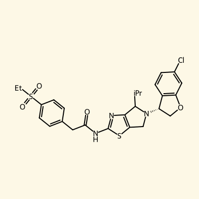 CCS(=O)(=O)c1ccc(CC(=O)Nc2nc3c(s2)CN([C@H]2COc4cc(Cl)ccc42)C3C(C)C)cc1